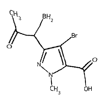 BC(C(C)=O)c1nn(C)c(C(=O)O)c1Br